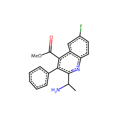 COC(=O)c1c(-c2ccccc2)c(C(C)N)nc2ccc(F)cc12